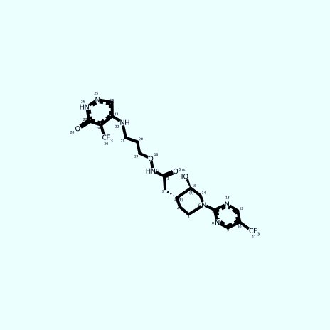 O=C(C[C@H]1CCN(c2ncc(C(F)(F)F)cn2)C[C@@H]1O)NOCCCNc1cn[nH]c(=O)c1C(F)(F)F